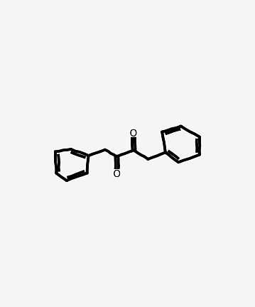 O=C(Cc1ccccc1)C(=O)Cc1ccccc1